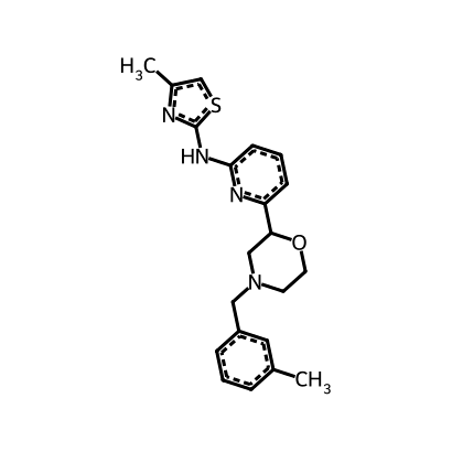 Cc1cccc(CN2CCOC(c3cccc(Nc4nc(C)cs4)n3)C2)c1